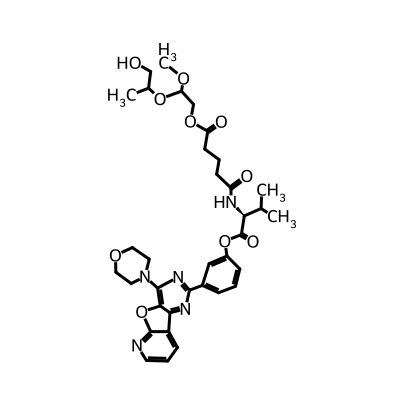 COC(COC(=O)CCCC(=O)N[C@H](C(=O)Oc1cccc(-c2nc(N3CCOCC3)c3oc4ncccc4c3n2)c1)C(C)C)OC(C)CO